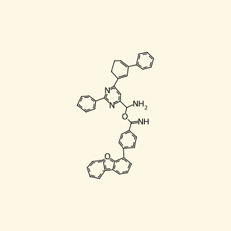 N=C(OC(N)c1cc(C2=CC(c3ccccc3)=CCC2)nc(-c2ccccc2)n1)c1ccc(-c2cccc3c2oc2ccccc23)cc1